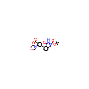 COC(=O)c1ccc(-c2cccc3c2C(=O)NN(C(=O)OC(C)(C)C)C3)cc1N1CCOCC1